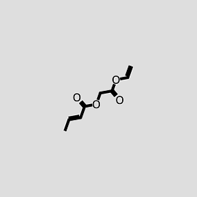 C=COC(=O)COC(=O)C=CC